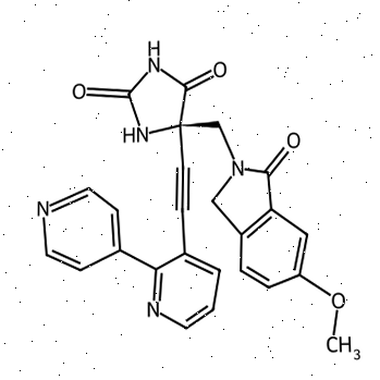 COc1ccc2c(c1)C(=O)N(C[C@@]1(C#Cc3cccnc3-c3ccncc3)NC(=O)NC1=O)C2